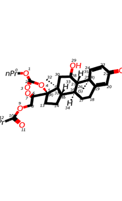 CCCOC(=O)O[C@]1(C(=O)COC(=O)CCC)CC[C@H]2[C@@H]3CCC4=CC(=O)C=C[C@]4(C)[C@H]3C(O)C[C@@]21C